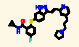 O=C(NC1CC1)c1cc(F)ccc1Sc1ccc2c(/C=C/c3cc(CCCN4CCCC4)ccn3)n[nH]c2c1